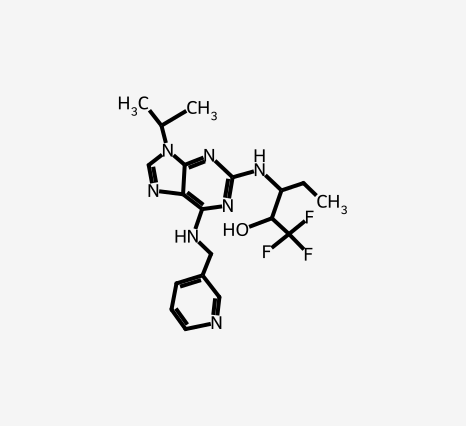 CCC(Nc1nc(NCc2cccnc2)c2ncn(C(C)C)c2n1)C(O)C(F)(F)F